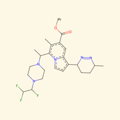 Cc1c(C(=O)OC(C)C)cc2c(C3CCC(C)N=N3)ccn2c1C(C)N1CCN(C(F)C(F)F)CC1